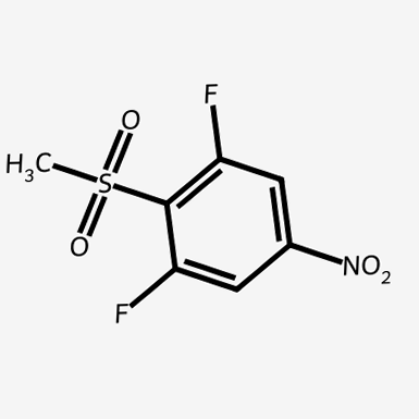 CS(=O)(=O)c1c(F)cc([N+](=O)[O-])cc1F